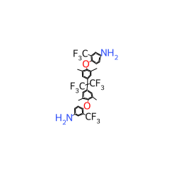 Cc1cc(C(c2cc(C)c(Oc3ccc(N)cc3C(F)(F)F)c(C)c2)(C(F)(F)F)C(F)(F)F)cc(C)c1Oc1ccc(N)cc1C(F)(F)F